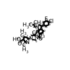 Cc1cc(N2CCN(C(=O)c3ccc4c(-c5ccc(Cl)c(F)c5)cn(CC(C)C)c4n3)C(C)(C)C2)nc(C)c1C(=O)O